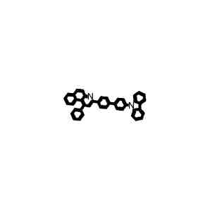 c1ccc(-c2cc(-c3ccc(-c4ccc(-n5c6ccccc6c6ccccc65)cc4)cc3)nc3ccc4ccccc4c23)cc1